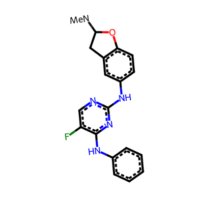 CNC1Cc2cc(Nc3ncc(F)c(Nc4ccccc4)n3)ccc2O1